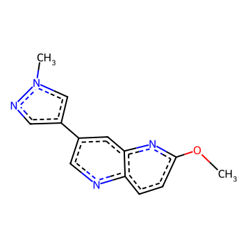 COc1ccc2ncc(-c3cnn(C)c3)cc2n1